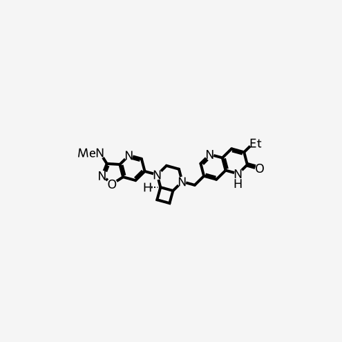 CCc1cc2ncc(CN3CCN(c4cnc5c(NC)noc5c4)[C@@H]4CCC43)cc2[nH]c1=O